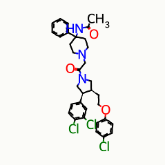 CC(=O)NC1(c2ccccc2)CCN(CC(=O)N2C[C@@H](CCOc3ccc(Cl)cc3)[C@@H](c3ccc(Cl)c(Cl)c3)C2)CC1